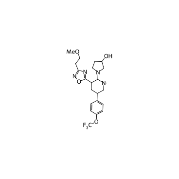 COCCc1noc(C2CC(c3ccc(OC(F)(F)F)cc3)C[N]C2N2CCC(O)C2)n1